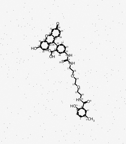 Cc1ccc(O)c(C(=O)NCCOCCOCCNC(=S)Nc2ccc(-c3c4ccc(=O)cc-4oc4cc(O)ccc34)c(C(=O)O)c2)c1